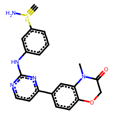 C#[SH](N)c1cccc(Nc2nccc(-c3ccc4c(c3)N(C)C(=O)CO4)n2)c1